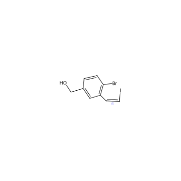 OCc1ccc(Br)c(/C=C\I)c1